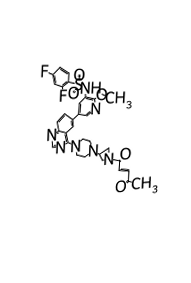 COc1ncc(-c2ccc3ncnc(N4CCN(C5CN(C(=O)/C=C/C(C)=O)C5)CC4)c3c2)cc1NS(=O)(=O)c1ccc(F)cc1F